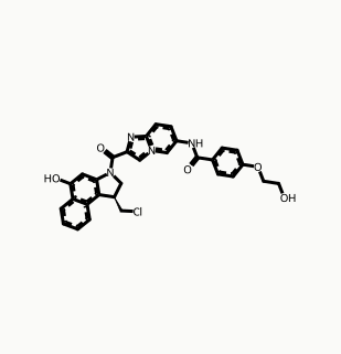 O=C(Nc1ccc2nc(C(=O)N3C[C@@H](CCl)c4c3cc(O)c3ccccc43)cn2c1)c1ccc(OCCO)cc1